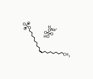 CCCCCCCC/C=C\CCCCCCCCOS(=O)(=O)[O-].O=S(=O)(O)O.[Na+]